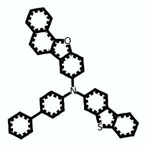 c1ccc(-c2ccc(N(c3ccc4c(c3)sc3ccccc34)c3ccc4oc5c6ccccc6ccc5c4c3)cc2)cc1